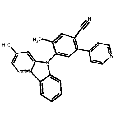 Cc1ccc2c3ccccc3n(-c3cc(-c4ccncc4)c(C#N)cc3C)c2c1